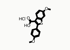 COc1ccc(-c2sc3cc(OC)ccc3c2C(=O)O)cc1.Cl